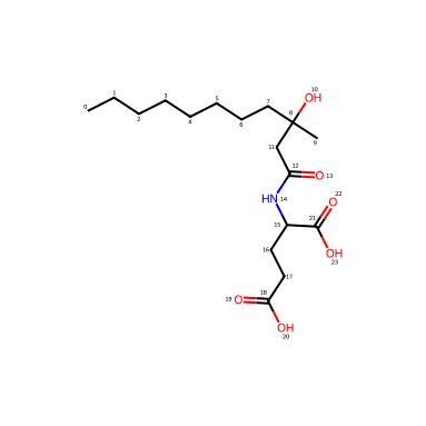 CCCCCCCCC(C)(O)CC(=O)NC(CCC(=O)O)C(=O)O